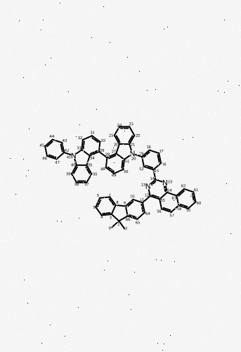 CC1(C)c2ccccc2-c2cc(-c3nc(-c4cccc(-n5c6ccccc6c6c(-c7cccc8c7c7ccccc7n8-c7ccccc7)cccc65)c4)nc4c3ccc3ccccc34)ccc21